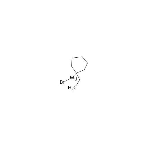 CC[C]1([Mg][Br])CCCCC1